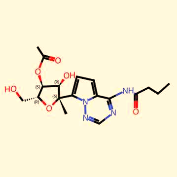 CCCC(=O)Nc1ncnn2c([C@]3(C)O[C@H](CO)[C@@H](OC(C)=O)[C@H]3O)ccc12